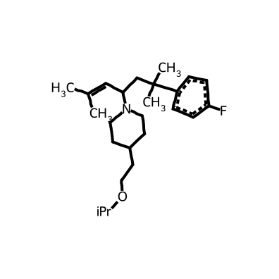 CC(C)=CC(CC(C)(C)c1ccc(F)cc1)N1CCC(CCOC(C)C)CC1